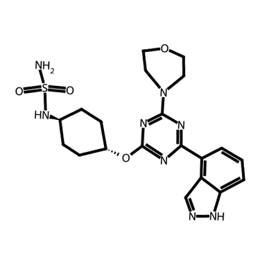 NS(=O)(=O)N[C@H]1CC[C@H](Oc2nc(-c3cccc4[nH]ncc34)nc(N3CCOCC3)n2)CC1